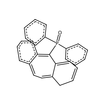 O=P(C1=c2ccccc2=CC=C2CC=CC=C21)(c1ccccc1)c1ccccc1